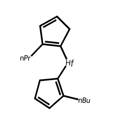 CCCCC1=[C]([Hf][C]2=C(CCC)C=CC2)CC=C1